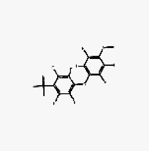 CSc1c(F)c(F)c(Oc2c(F)c(F)c(C(C)(C)C)c(F)c2F)c(F)c1F